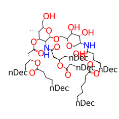 CCCCCCCCCCCCCCCC(=O)O[C@H](CCCCCCCCCCC)CC(=O)NC1[C@H](O)OC(CO[C@@H]2OC(CO)[C@@H](C)[C@H](OC(=O)C[C@@H](CCCCCCCCCCC)OC(=O)CCCCCCCCCCCCC)C2NC(=O)C[C@@H](CCCCCCCCCCC)OC(=O)CCCCCCCCCCC)[C@@H](O)[C@@H]1O